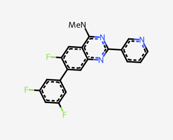 CNc1nc(-c2cccnc2)nc2cc(-c3cc(F)cc(F)c3)c(F)cc12